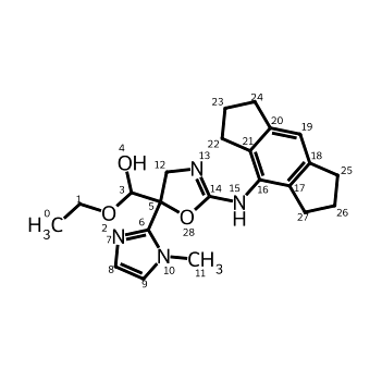 CCOC(O)C1(c2nccn2C)CN=C(Nc2c3c(cc4c2CCC4)CCC3)O1